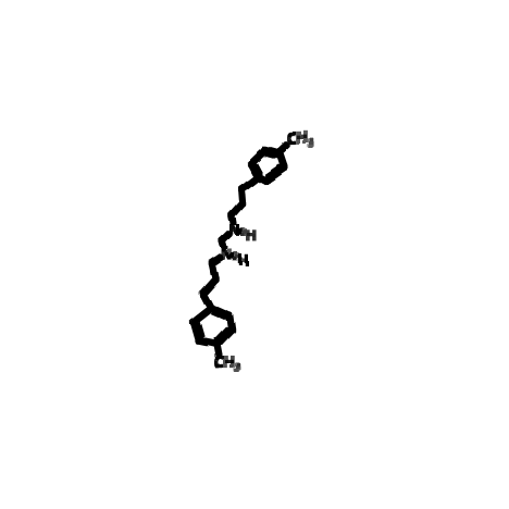 [2H]N(CCCc1ccc(C)cc1)CN([2H])CCCc1ccc(C)cc1